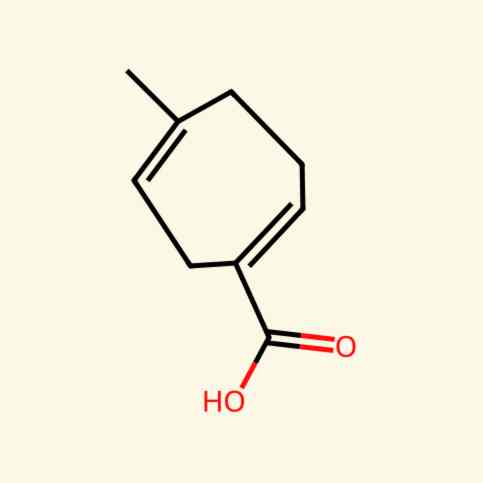 CC1=CCC(C(=O)O)=CCC1